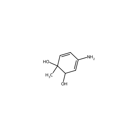 CC1(O)C=CC(N)=CC1O